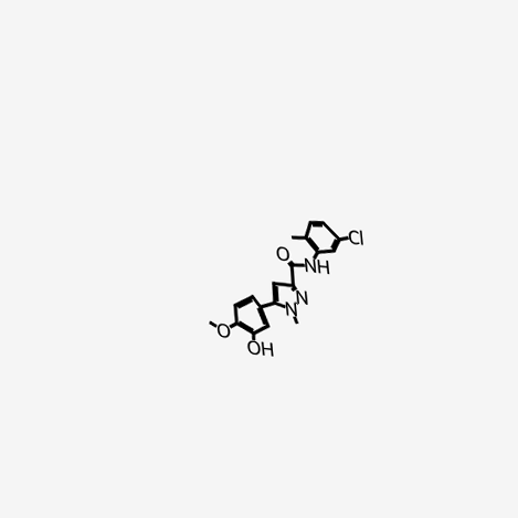 COc1ccc(-c2cc(C(=O)Nc3cc(Cl)ccc3C)nn2C)cc1O